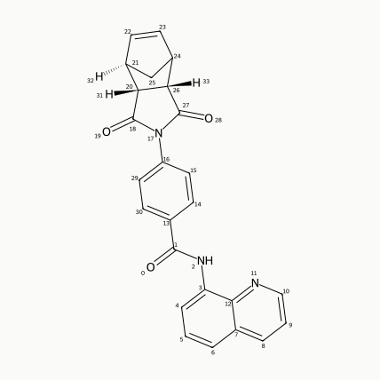 O=C(Nc1cccc2cccnc12)c1ccc(N2C(=O)[C@@H]3[C@H]4C=CC(C4)[C@@H]3C2=O)cc1